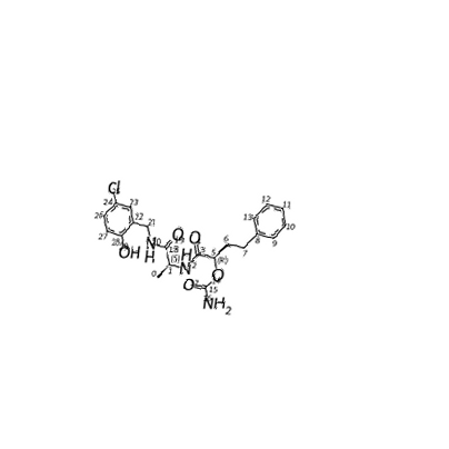 C[C@H](NC(=O)[C@@H](CCc1ccccc1)OC(N)=O)C(=O)NCc1cc(Cl)ccc1O